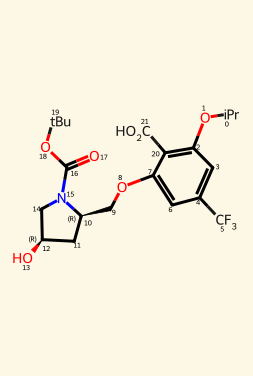 CC(C)Oc1cc(C(F)(F)F)cc(OC[C@H]2C[C@@H](O)CN2C(=O)OC(C)(C)C)c1C(=O)O